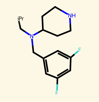 CC(C)CN(Cc1cc(F)cc(F)c1)C1CCNCC1